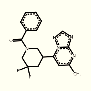 Cc1cc(C2CN(C(=O)c3ccccc3)CC(F)(F)C2)n2ncnc2n1